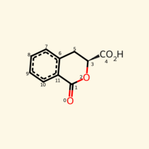 O=C1O[C@H](C(=O)O)Cc2ccccc21